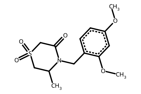 COc1ccc(CN2C(=O)CS(=O)(=O)CC2C)c(OC)c1